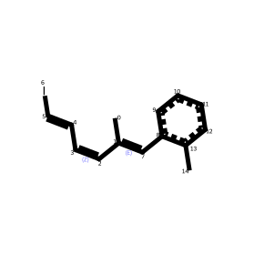 CC(/C=C\C=CI)=C\c1ccccc1C